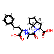 CC(NC(CCc1ccccc1)C(=O)O)C(=O)N1[C@H](C(=O)O)C[C@@H]2CCC[C@@H]21